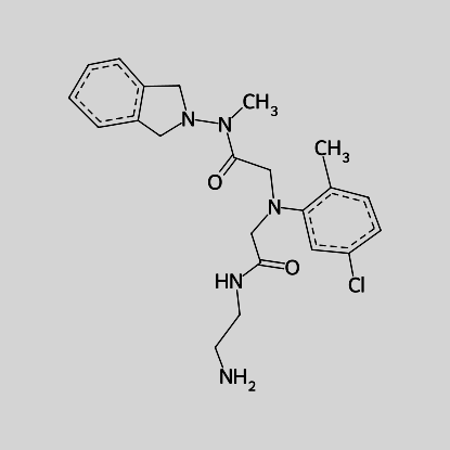 Cc1ccc(Cl)cc1N(CC(=O)NCCN)CC(=O)N(C)N1Cc2ccccc2C1